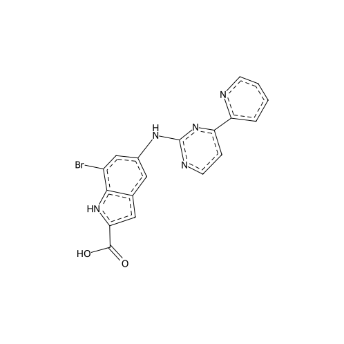 O=C(O)c1cc2cc(Nc3nccc(-c4ccccn4)n3)cc(Br)c2[nH]1